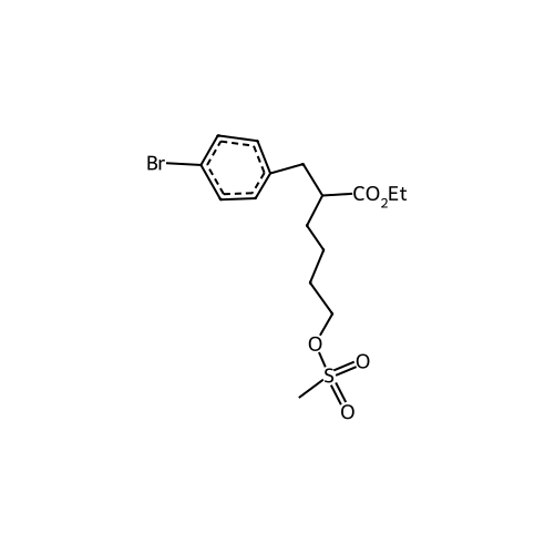 CCOC(=O)C(CCCCOS(C)(=O)=O)Cc1ccc(Br)cc1